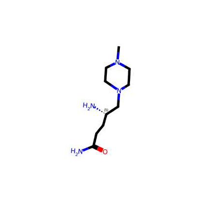 CN1CCN(C[C@@H](N)CCC(N)=O)CC1